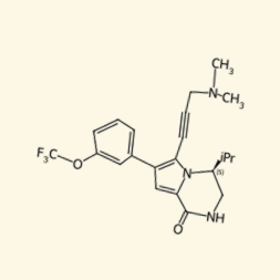 CC(C)[C@H]1CNC(=O)c2cc(-c3cccc(OC(F)(F)F)c3)c(C#CCN(C)C)n21